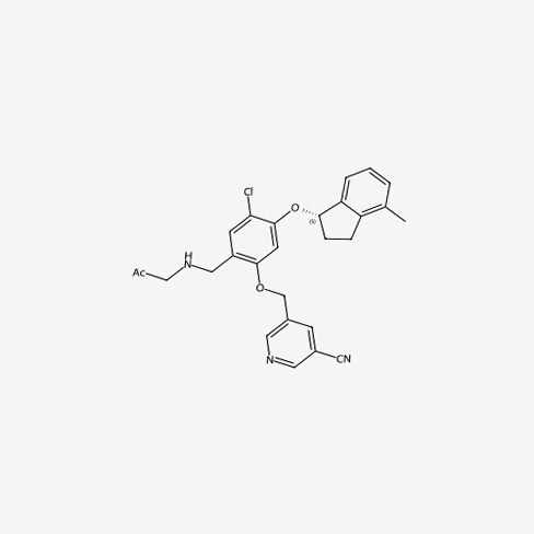 CC(=O)CNCc1cc(Cl)c(O[C@H]2CCc3c(C)cccc32)cc1OCc1cncc(C#N)c1